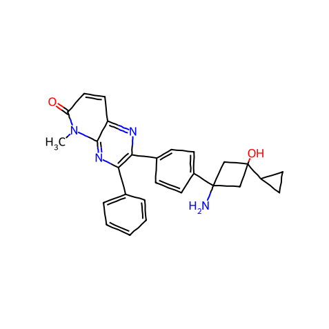 Cn1c(=O)ccc2nc(-c3ccc(C4(N)CC(O)(C5CC5)C4)cc3)c(-c3ccccc3)nc21